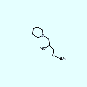 CNOCC(O)CN1CCCCC1